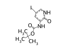 CC(C)(C)OC(=O)Nc1cc(I)c[nH]c1=O